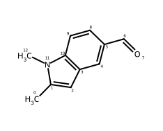 Cc1cc2cc(C=O)ccc2n1C